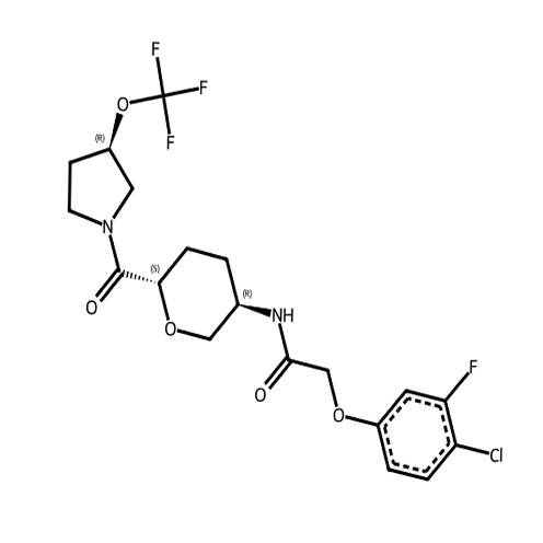 O=C(COc1ccc(Cl)c(F)c1)N[C@@H]1CC[C@@H](C(=O)N2CC[C@@H](OC(F)(F)F)C2)OC1